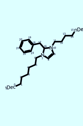 CCCCCCCCCCCCCCCCN1C=CN(CCCCCCCCCCCCCC)C1Cc1ccccc1